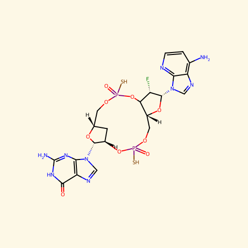 Nc1nc2c(ncn2[C@@H]2O[C@@H]3COP(=O)(S)OC4[C@@H](COP(=O)(S)O[C@H]2C3)O[C@@H](n2cnc3c(N)ccnc32)[C@H]4F)c(=O)[nH]1